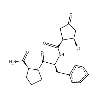 CC[C@@H]1CC(=O)C[C@@H]1C(=O)N[C@@H](Cc1ccccc1)C(=O)N1CCC[C@H]1C(N)=O